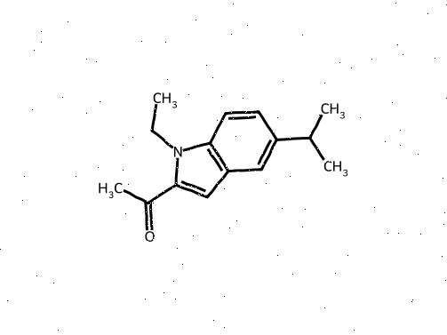 CCn1c(C(C)=O)cc2cc(C(C)C)ccc21